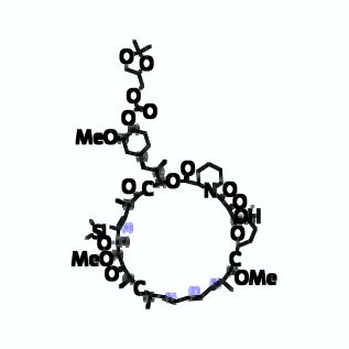 CO[C@H]1CC2CC[C@@H](C)[C@@](O)(O2)C(=O)C(=O)N2CCCCC2C(=O)O[C@H]([C@H](C)C[C@@H]2CC[C@@H](OC(=O)OCC3COC(C)(C)O3)[C@H](OC)C2)CC(=O)[C@H](C)/C=C(\C)[C@@H](O[Si](C)(C)C)[C@@H](OC)C(=O)[C@H](C)C[C@H](C)/C=C/C=C/C=C/1C